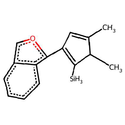 CC1=CC(c2occ3ccccc23)=C([SiH3])C1C